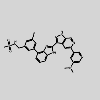 CN(C)c1cncc(-c2cc3c(-c4nc5c(-c6cc(F)cc(CNS(C)(=O)=O)c6)cccc5[nH]4)n[nH]c3cn2)c1